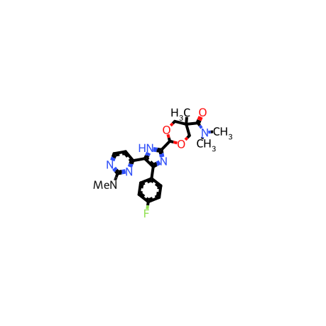 CNc1nccc(-c2[nH]c(C3OCC(C)(C(=O)N(C)C)CO3)nc2-c2ccc(F)cc2)n1